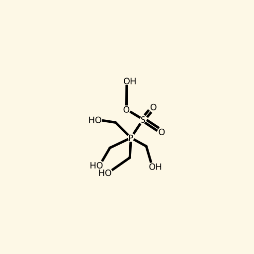 O=S(=O)(OO)P(CO)(CO)(CO)CO